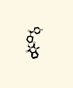 Cn1c(=O)n(C[C@H]2CC[C@H](C(=O)N3CCNCC3)CC2)c(=O)c2ccccc21